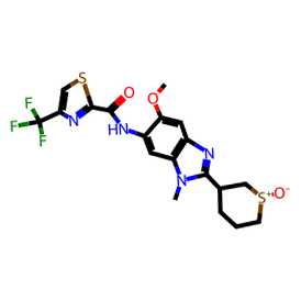 COc1cc2nc(C3CCC[S+]([O-])C3)n(C)c2cc1NC(=O)c1nc(C(F)(F)F)cs1